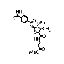 CCCCN1C(=NC(=O)c2ccc(C(N)=S)cc2)SC(C(=O)NCCC(=O)OC)C1C